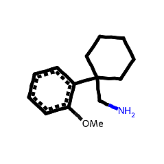 COc1ccccc1C1(CN)CCCCC1